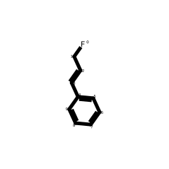 FC/C=C/c1ccccc1